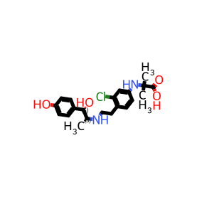 C[C@H](NCCc1ccc(NC(C)(C)C(=O)O)cc1Cl)[C@@H](O)c1ccc(O)cc1